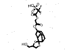 O=C(COC(=O)C(F)(F)S(=O)(=O)O)OC12CC3CC(C1)C1(SCC(CO)S1)C(C3)C2